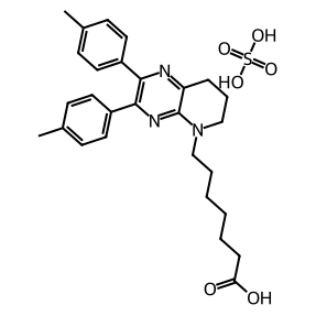 Cc1ccc(-c2nc3c(nc2-c2ccc(C)cc2)N(CCCCCCC(=O)O)CCC3)cc1.O=S(=O)(O)O